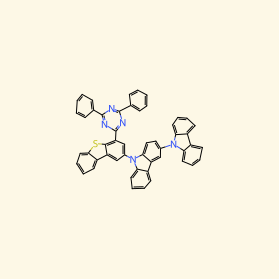 c1ccc(-c2nc(-c3ccccc3)nc(-c3cc(-n4c5ccccc5c5cc(-n6c7ccccc7c7ccccc76)ccc54)cc4c3sc3ccccc34)n2)cc1